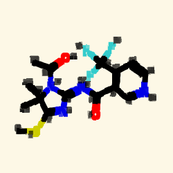 CSC1=N/C(=N\C(=O)c2cnccc2C(F)(F)F)N(C(C)=O)C1(C)C